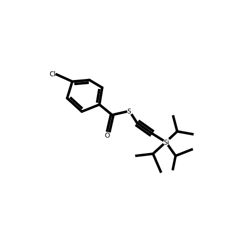 CC(C)[Si](C#CSC(=O)c1ccc(Cl)cc1)(C(C)C)C(C)C